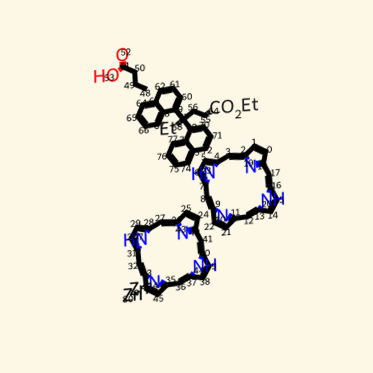 C1=Cc2cc3ccc(cc4nc(cc5ccc(cc1n2)[nH]5)C=C4)[nH]3.C1=Cc2cc3ccc(cc4nc(cc5ccc(cc1n2)[nH]5)C=C4)[nH]3.CCCC(=O)O.CCOC(=O)CCC(CC)(c1cccc2ccccc12)c1cccc2ccccc12.[Zn].[Zn]